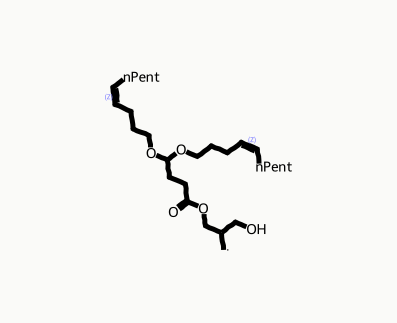 [CH2]C(CO)COC(=O)CCC(OCCC/C=C\CCCCC)OCCC/C=C\CCCCC